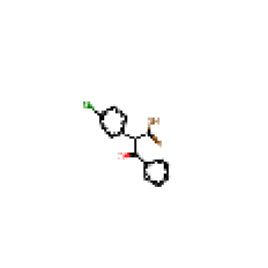 O=C(c1ccccc1)C(C(=S)S)c1ccc(Cl)cc1